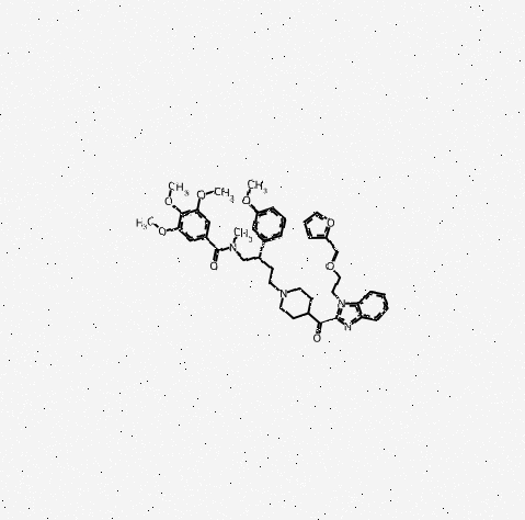 COc1cccc(C(CCN2CCC(C(=O)c3nc4ccccc4n3CCOCc3ccco3)CC2)CN(C)C(=O)c2cc(OC)c(OC)c(OC)c2)c1